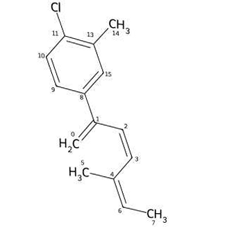 C=C(/C=C\C(C)=C/C)c1ccc(Cl)c(C)c1